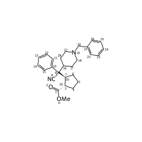 COC(=O)[C@H]1CCC[C@@H]1C(C#N)(c1ccccc1)C1CCN(Cc2ccccc2)CC1